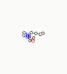 c1cc(-c2ccc(-c3ccc4ccccc4c3)cc2)cc(-c2nc(-c3cccc4ccccc34)nc(-c3cccc4oc5ccccc5c34)n2)c1